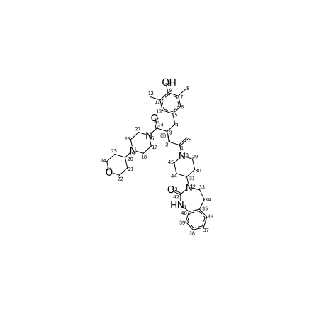 C=C(C[C@H](Cc1cc(C)c(O)c(C)c1)C(=O)N1CCN(C2CCOCC2)CC1)N1CCC(N2CCc3ccccc3NC2=O)CC1